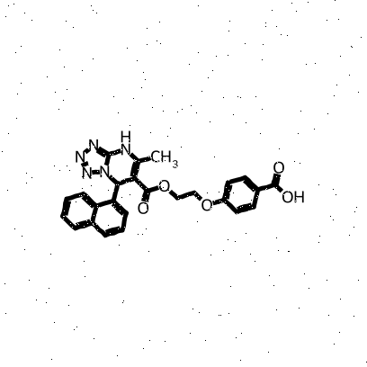 CC1=C(C(=O)OCCOc2ccc(C(=O)O)cc2)C(c2cccc3ccccc23)n2nnnc2N1